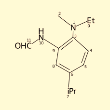 CCN(C)c1ccc(C(C)C)cc1NC=O